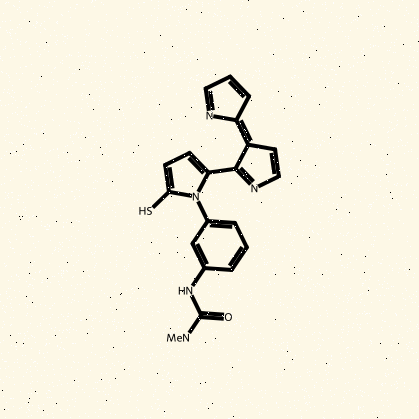 CNC(=O)Nc1cccc(-n2c(S)ccc2C2=NC=CC2=C2C=CC=N2)c1